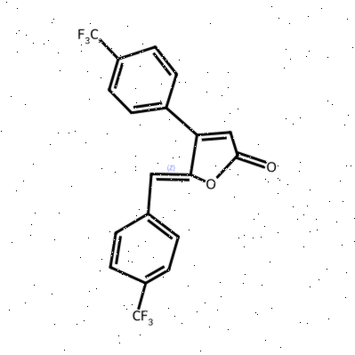 O=C1C=C(c2ccc(C(F)(F)F)cc2)/C(=C/c2ccc(C(F)(F)F)cc2)O1